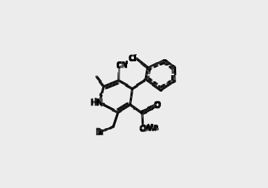 COC(=O)C1=C(CBr)NC(C)=C(C#N)C1c1ccccc1Cl